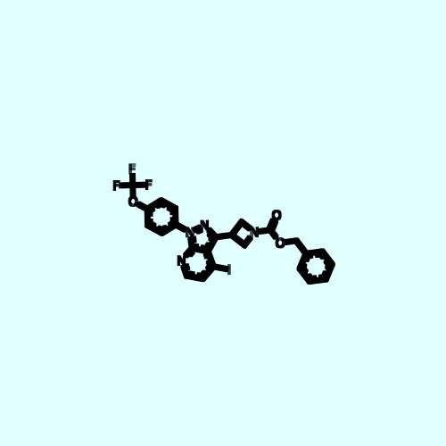 O=C(OCc1ccccc1)N1CC(c2nn(-c3ccc(OC(F)(F)F)cc3)c3nccc(I)c23)C1